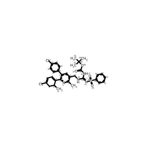 Cc1nc(C2=CC=C(Cl)CC2C)c(-c2ccc(Cl)cc2)cc1CN/C(=N/S(=O)(=O)c1ccccc1)NC(=O)OC(C)(C)C